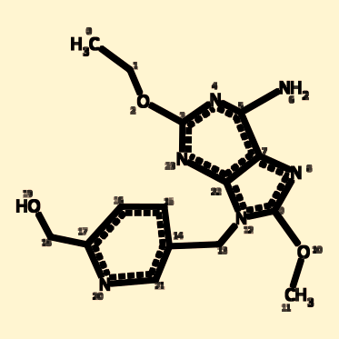 CCOc1nc(N)c2nc(OC)n(Cc3ccc(CO)nc3)c2n1